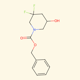 O=C(OCc1ccccc1)N1CC(O)CC(F)(F)C1